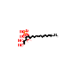 C=CCCCCCCCCCC(=O)[C@H](OP(=O)(O)O)[C@@H](O)[C@H](O)[C@H](O)CO